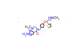 CNCCC(Oc1ccc(CN2CCN(C)c3nc(N)ncc3C2=O)cc1)c1cccs1